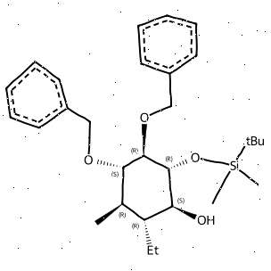 CC[C@@H]1[C@@H](C)[C@H](OCc2ccccc2)[C@@H](OCc2ccccc2)[C@H](O[Si](C)(C)C(C)(C)C)[C@H]1O